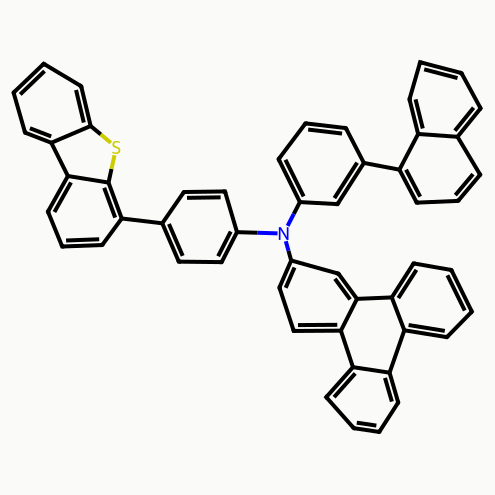 c1cc(-c2cccc3ccccc23)cc(N(c2ccc(-c3cccc4c3sc3ccccc34)cc2)c2ccc3c4ccccc4c4ccccc4c3c2)c1